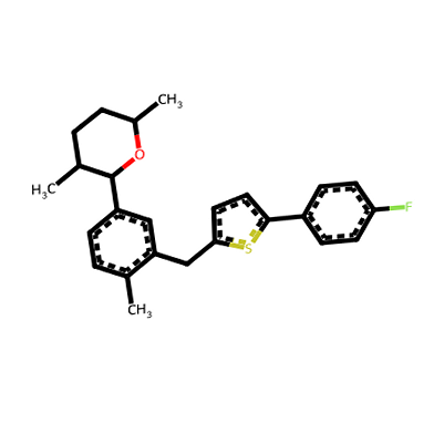 Cc1ccc(C2OC(C)CCC2C)cc1Cc1ccc(-c2ccc(F)cc2)s1